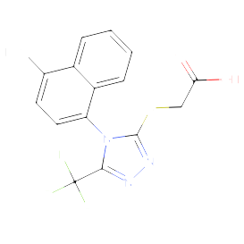 Cc1ccc(-n2c(SCC(=O)O)nnc2C(F)(F)F)c2ccccc12